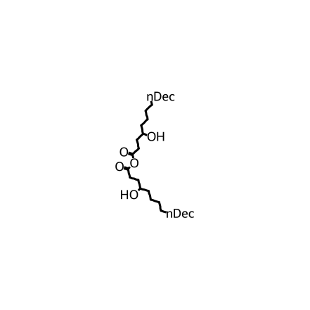 CCCCCCCCCCCCCCC(O)CCC(=O)OC(=O)CCC(O)CCCCCCCCCCCCCC